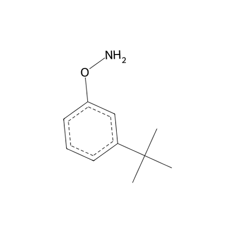 CC(C)(C)c1cccc(ON)c1